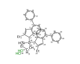 CCC.CCC1=Cc2c(-c3ccccc3)cccc2[CH]1[Zr]([CH3])([SiH3])[CH]1C(CC)=Cc2c(-c3ccccc3)cccc21.Cl.Cl